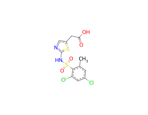 Cc1cc(Cl)cc(Cl)c1S(=O)(=O)Nc1ncc(CC(=O)O)s1